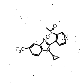 CS(=O)(=O)c1cnccc1-c1nc2cc(C(F)(F)F)ccc2n1C1CC1